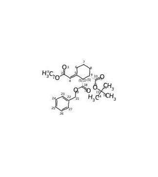 COC(=O)C=C1CCC[C@H](C(=O)OC(C)(C)C)[C@@H]1C(=O)OCc1ccccc1